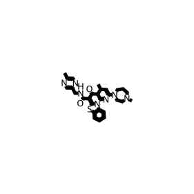 Cc1cnc(CNC(=O)C2=C3Sc4ccccc4N3C3=NC(N4CCCN(C)CC4)=CC(C)C3C2=O)cn1